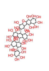 Oc1c(O)c(O)c(-c2c(O)c(O)c(-c3c4c(O)c(O)c(O)c(O)c4c(-c4c(O)c(O)c5oc6c(O)c7c(O)c(O)c(O)c(O)c7c(O)c6c5c4O)c4c(O)c(O)c(O)c(O)c34)c3c(O)c(O)c(O)c(O)c23)c(O)c1O